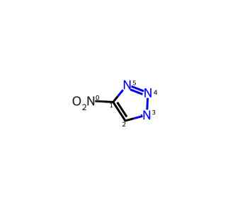 O=[N+]([O-])C1=C[N]N=N1